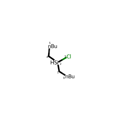 CCCCC[SiH](Cl)CCCCC